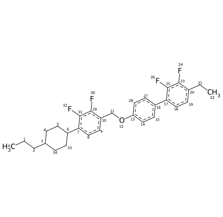 CCCC1CCC(c2ccc(COc3ccc(-c4ccc(CC)c(F)c4F)cc3)c(F)c2F)CC1